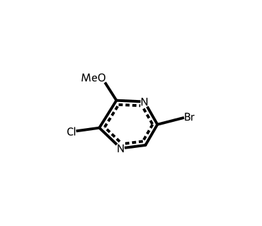 COc1nc(Br)cnc1Cl